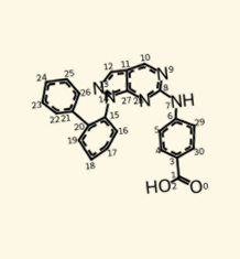 O=C(O)c1ccc(Nc2ncc3cnn(-c4ccccc4-c4ccccc4)c3n2)cc1